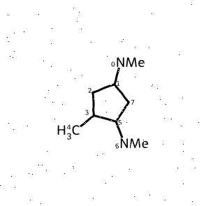 CNC1CC(C)C(NC)C1